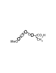 CC=CC(CC(=O)O)c1ccc(OCc2cccc(N3CCN(c4ccc(OC)cc4)CC3)c2)cc1